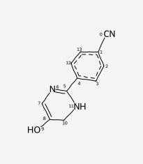 N#Cc1ccc(C2=NC=C(O)CN2)cc1